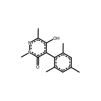 Cc1cc(C)c(-c2c(O)c(C)nn(C)c2=O)c(C)c1